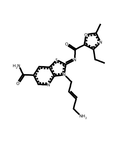 CCc1nc(C)oc1C(=O)/N=c1\sc2cc(C(N)=O)cnc2n1C/C=C/CN